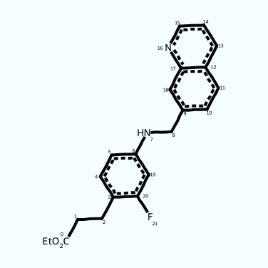 CCOC(=O)CCc1ccc(NCc2ccc3cccnc3c2)cc1F